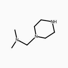 CN(C)CN1CCNCC1